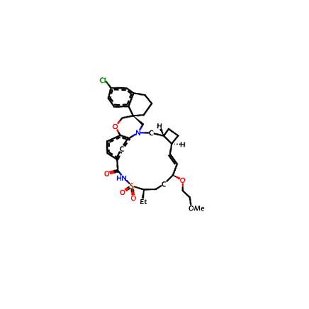 CC[C@@H]1CC[C@H](OCCOC)/C=C/[C@@H]2CC[C@H]2CN2C[C@@]3(CCCc4cc(Cl)ccc43)COc3ccc(cc32)C(=O)NS1(=O)=O